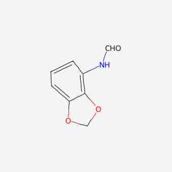 O=CNc1cccc2c1OCO2